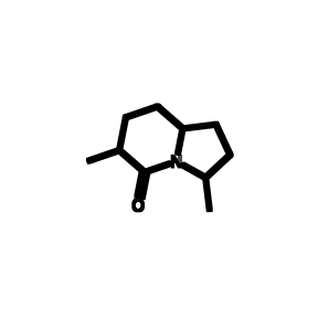 CC1CCC2CCC(C)N2C1=O